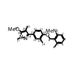 CNc1cccc(C)c1COc1ccc(-c2nn(C)c(OC)c2C)cc1C